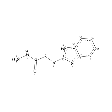 NNC(=O)CSc1nc2ccccc2[nH]1